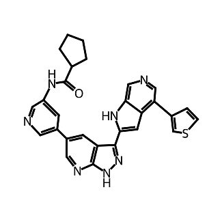 O=C(Nc1cncc(-c2cnc3[nH]nc(-c4cc5c(-c6ccsc6)cncc5[nH]4)c3c2)c1)C1CCCC1